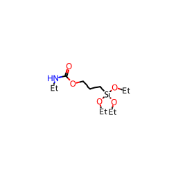 CCNC(=O)OCCC[Si](OCC)(OCC)OCC